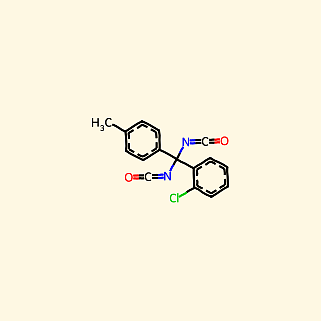 Cc1ccc(C(N=C=O)(N=C=O)c2ccccc2Cl)cc1